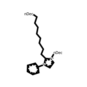 CCCCCCCCCCCCCCCCCCc1n(-c2ccccc2)cc[n+]1CCCCCCCCCC